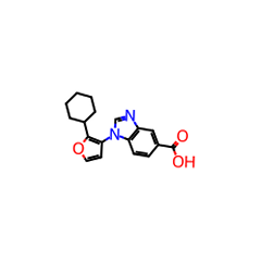 O=C(O)c1ccc2c(c1)ncn2-c1ccoc1C1CCCCC1